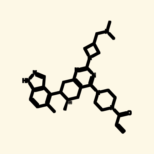 C=CC(=O)N1CCN(c2nc(N3CC(CN(C)C)C3)nc3c2C[C@@H](C)C(c2c(C)ccc4[nH]ncc24)C3)CC1